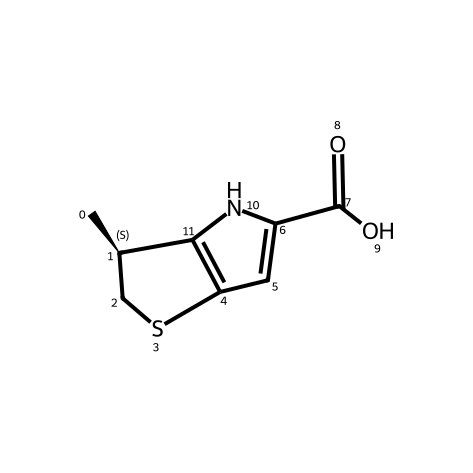 C[C@@H]1CSc2cc(C(=O)O)[nH]c21